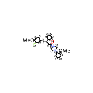 COc1ccc(CC/C(=C/C(=O)N2CCN(c3ccccc3OC)CC2)c2ccccc2)cc1F